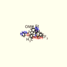 CCn1nnc2c(C)c(C(CC(=O)Nc3cccnc3)c3ccc(C)c(CN4CC(C)Cc5ccc(C(F)(F)F)cc5S4(O)O)c3)cc(OC)c21